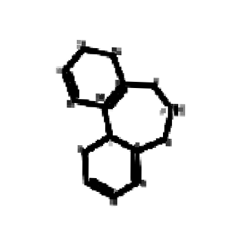 C1=CCC2C(=C1)CPCC1=C2C=CCC1